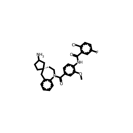 COc1cc(C(=O)N2CC[C@@]3(CCC(N)C3)Cc3ccccc32)ccc1NC(=O)c1cc(F)ccc1Cl